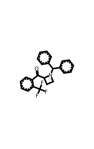 O=C(c1ccccc1C(F)(F)F)C1CCN1C(c1ccccc1)c1ccccc1